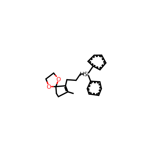 CC1=C(CCC[SiH](c2ccccc2)c2ccccc2)C2(CC1)OCCO2